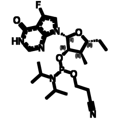 CC[C@H]1O[C@@H](n2cc(F)c3c(=O)[nH]cnc32)[C@H](OP(OCCC#N)N(C(C)C)C(C)C)[C@@H]1C